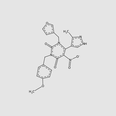 COc1ccc(Cn2c(=O)c([N+](=O)[O-])c(-c3c[nH]nc3C)n(Cc3ccoc3)c2=O)cc1